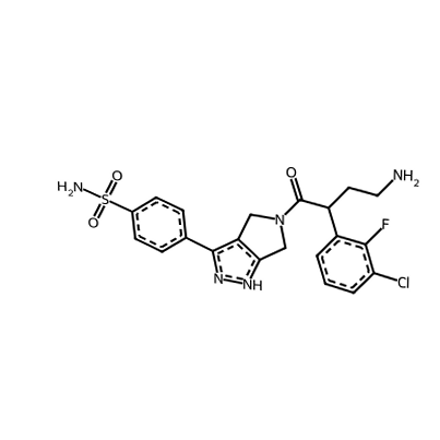 NCCC(C(=O)N1Cc2[nH]nc(-c3ccc(S(N)(=O)=O)cc3)c2C1)c1cccc(Cl)c1F